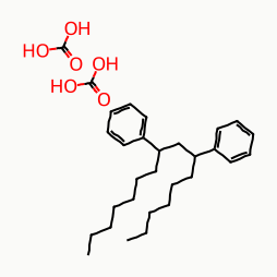 CCCCCCCC(CC(CCCCCC)c1ccccc1)c1ccccc1.O=C(O)O.O=C(O)O